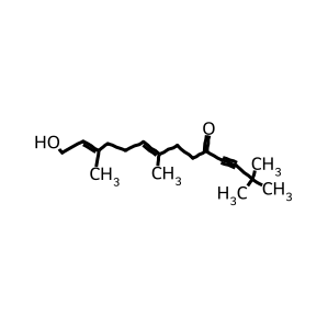 C/C(=C\CO)CC/C=C(\C)CCC(=O)C#CC(C)(C)C